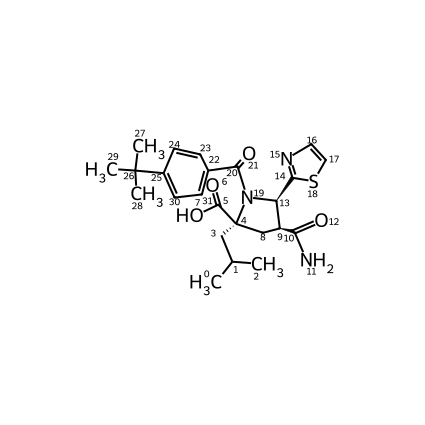 CC(C)C[C@@]1(C(=O)O)C[C@H](C(N)=O)[C@H](c2nccs2)N1C(=O)c1ccc(C(C)(C)C)cc1